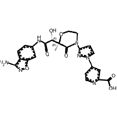 C[C@]1([C@@H](O)C(=O)Nc2ccc3c(N)noc3c2)OCCN(c2ccn(-c3ccnc(C(=O)O)c3)n2)C1=O